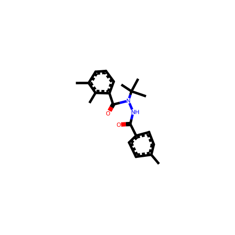 Cc1ccc(C(=O)NN(C(=O)c2cccc(C)c2C)C(C)(C)C)cc1